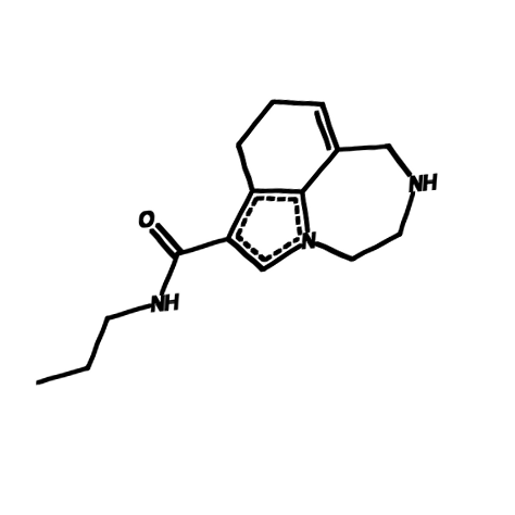 CCCNC(=O)c1cn2c3c1CCC=C3CNCC2